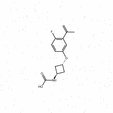 C=C(C)c1cc(O[C@H]2C[C@H](NC(=O)O)C2)ccc1F